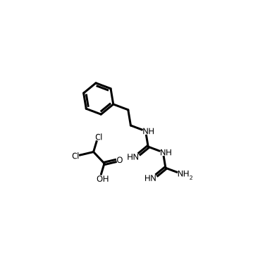 N=C(N)NC(=N)NCCc1ccccc1.O=C(O)C(Cl)Cl